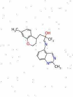 Cc1ccc2c(c1)OCCC2CC(O)(C=Nc1cccc2nc(C)ncc12)C(F)(F)F